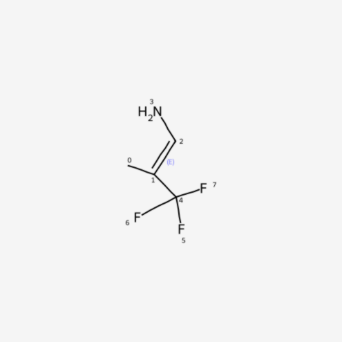 C/C(=C\N)C(F)(F)F